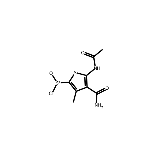 CC(=O)Nc1sc([S+]([O-])Cl)c(C)c1C(N)=O